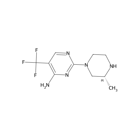 C[C@@H]1CN(c2ncc(C(F)(F)F)c(N)n2)CCN1